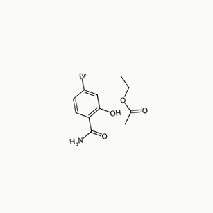 CCOC(C)=O.NC(=O)c1ccc(Br)cc1O